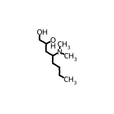 CCCCC(CC(O)CO)N(C)C